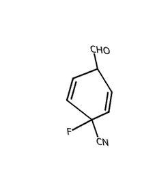 N#CC1(F)C=CC(C=O)C=C1